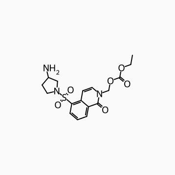 CCOC(=O)OCn1ccc2c(S(=O)(=O)N3CCC(N)C3)cccc2c1=O